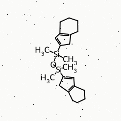 C[Si](C)(O[Si](C)(C)C1=CC2=C([CH]1)CCCC2)C1=CC2=C([CH]1)CCCC2